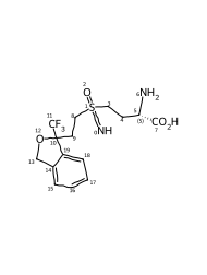 N=S(=O)(CC[C@H](N)C(=O)O)CCC1(C(F)(F)F)OCc2ccccc21